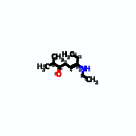 CCNC(=CCC(=O)C(C)C)CC